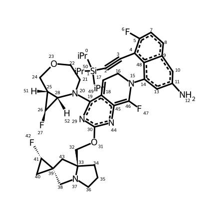 CC(C)[Si](C#Cc1c(F)ccc2cc(N)cc(N3CC=c4c(N5CCOC[C@H]6[C@H](F)[C@H]65)nc(OC[C@@]56CCCN5C[C@@]5(C[C@@H]5F)C6)nc4=C3F)c12)(C(C)C)C(C)C